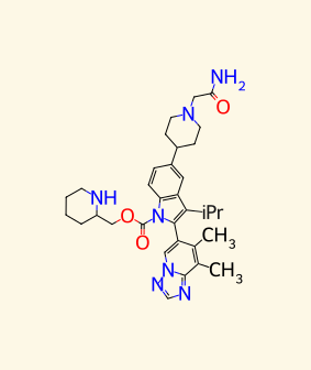 Cc1c(-c2c(C(C)C)c3cc(C4CCN(CC(N)=O)CC4)ccc3n2C(=O)OCC2CCCCN2)cn2ncnc2c1C